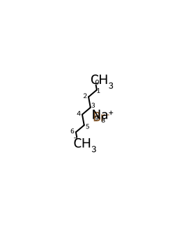 CCCCCCCC.[Br-].[Na+]